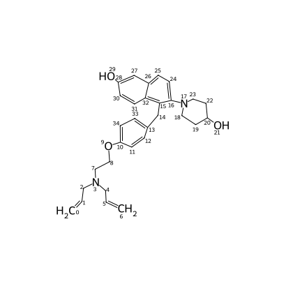 C=CCN(CC=C)CCOc1ccc(Cc2c(N3CCC(O)CC3)ccc3cc(O)ccc23)cc1